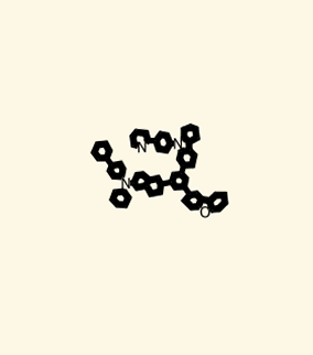 c1ccc(-c2ccc(N(c3ccccc3)c3ccc4cc(-c5cc(-c6ccc7oc8ccccc8c7c6)cc(-c6ccc7c8ccccc8n(-c8ccc(-c9ccccn9)cc8)c7c6)c5)ccc4c3)cc2)cc1